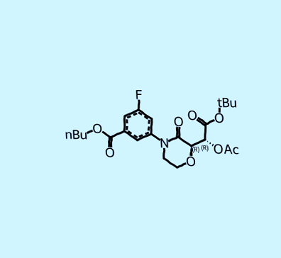 CCCCOC(=O)c1cc(F)cc(N2CCO[C@H]([C@@H](OC(C)=O)C(=O)OC(C)(C)C)C2=O)c1